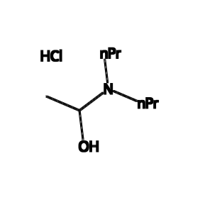 CCCN(CCC)C(C)O.Cl